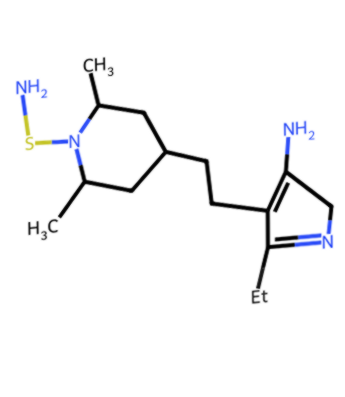 CCC1=NCC(N)=C1CCC1CC(C)N(SN)C(C)C1